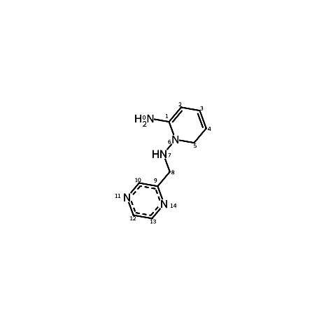 NC1=CC=CCN1NCc1cnccn1